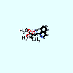 COC(=O)C1(C(C)C)CC(c2nccc3ccccc23)=NO1